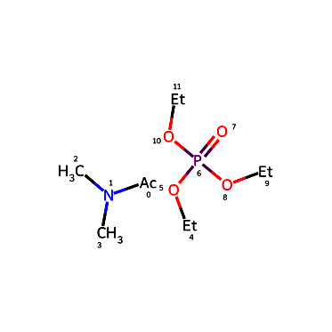 CC(=O)N(C)C.CCOP(=O)(OCC)OCC